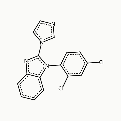 Clc1ccc(-n2c(-n3ccnc3)nc3ccccc32)c(Cl)c1